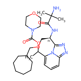 CC(OC(=O)N1CCOCC1)c1cccc2nnc([C@@H](COCC3CCCCCC3)NC(=O)C(C)(C)N)n12